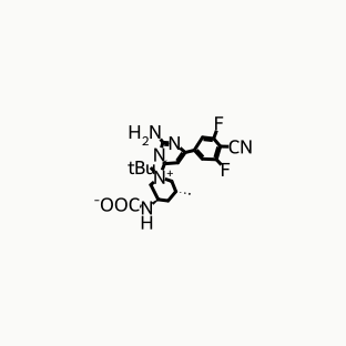 C[C@@H]1C[C@@H](NC(=O)[O-])C[N+](c2cc(-c3cc(F)c(C#N)c(F)c3)nc(N)n2)(C(C)(C)C)C1